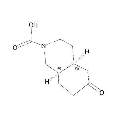 O=C1CC[C@H]2CN(C(=O)O)CC[C@H]2C1